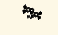 COc1cc(N)c(-c2ccc3cc(OC)c(OC)cc3n2)cc1OC